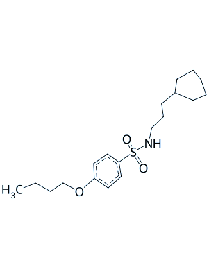 CCCCOc1ccc(S(=O)(=O)NCCCC2CCCCC2)cc1